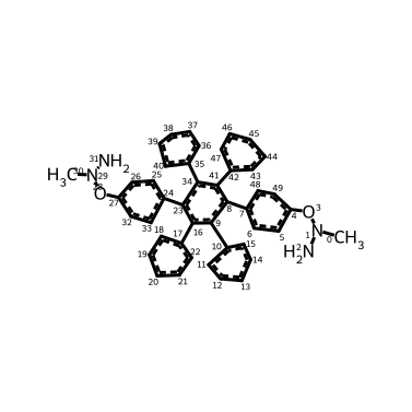 CN(N)Oc1ccc(-c2c(-c3ccccc3)c(-c3ccccc3)c(-c3ccc(ON(C)N)cc3)c(-c3ccccc3)c2-c2ccccc2)cc1